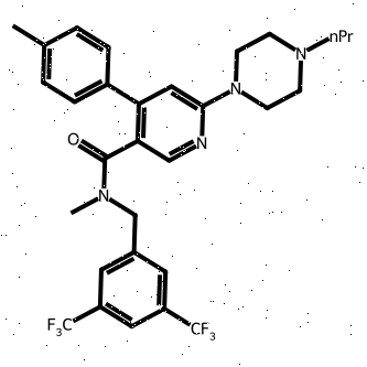 CCCN1CCN(c2cc(-c3ccc(C)cc3)c(C(=O)N(C)Cc3cc(C(F)(F)F)cc(C(F)(F)F)c3)cn2)CC1